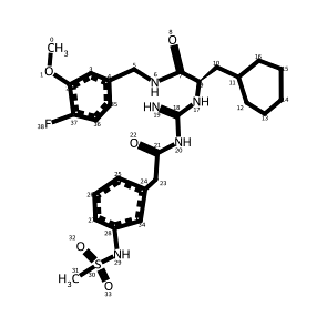 COc1cc(CNC(=O)[C@@H](CC2CCCCC2)NC(=N)NC(=O)Cc2cccc(NS(C)(=O)=O)c2)ccc1F